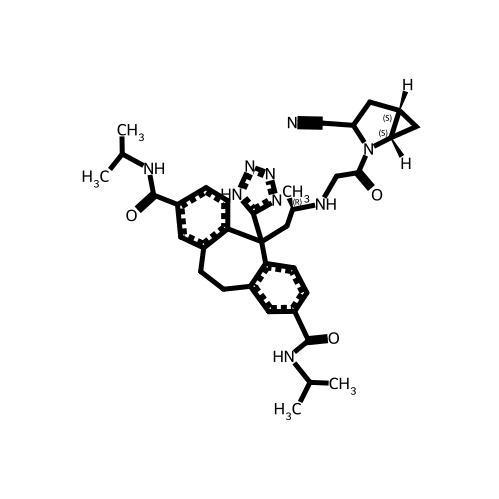 CC(C)NC(=O)c1ccc2c(c1)CCc1cc(C(=O)NC(C)C)ccc1C2(C[C@@H](C)NCC(=O)N1C(C#N)C[C@@H]2C[C@@H]21)c1nnn[nH]1